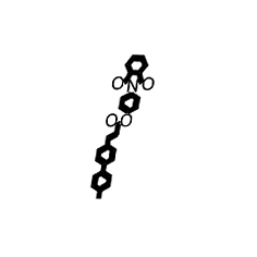 Cc1ccc(-c2ccc(/C=C/C(=O)Oc3ccc(N4C(=O)C5CC=CCC5C4=O)cc3)cc2)cc1